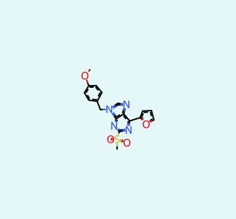 COc1ccc(Cn2cnc3c(-c4ccco4)nc(S(C)(=O)=O)nc32)cc1